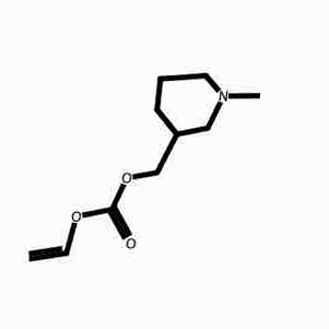 C=COC(=O)OCC1CCCN(C)C1